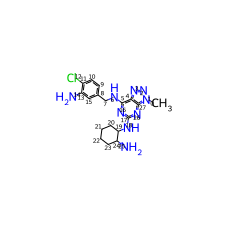 Cn1nnc2c(NCc3ccc(Cl)c(N)c3)nc(NC3CCCCC3N)nc21